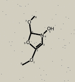 COC1=CN(O)C(OC)O1